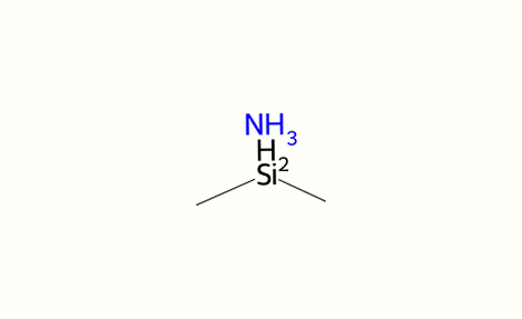 C[SiH2]C.N